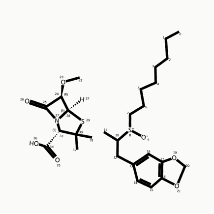 CCCCCCCC[S+]([O-])C(C)Cc1ccc2c(c1)OCO2.CO[C@@H]1C(=O)N2[C@@H]1SC(C)(C)[C@@H]2C(=O)O